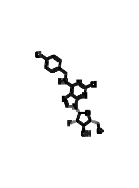 [O]C[C@H]1O[C@@H](n2cnc3c(NCc4ccc(Cl)cc4)nc(Cl)nc32)[C@@H](F)[C@@H]1O